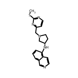 CSc1nccc(CN2CC[C@@H](Nc3cccc4cnccc34)C2)n1